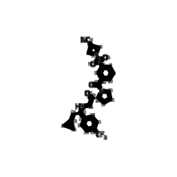 N#CC1CN(S(=O)(=O)c2cccc(C(=O)N3CCC[C@@H]3C(=O)CN[C@H](CC3CC3)c3ccc(C(F)(F)F)cc3)c2)C1